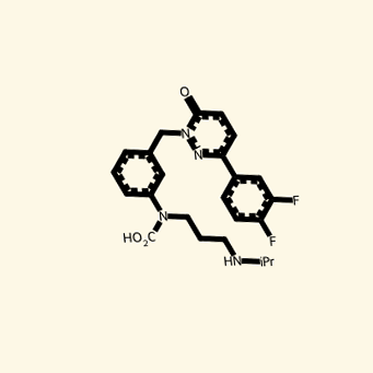 CC(C)NCCCN(C(=O)O)c1cccc(Cn2nc(-c3ccc(F)c(F)c3)ccc2=O)c1